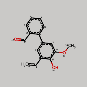 C=Cc1cc(-c2ccccc2C=O)cc(OC)c1O